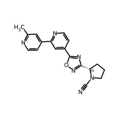 Cc1cc(-c2cc(-c3nc([C@@H]4CCCN4C#N)no3)ccn2)ccn1